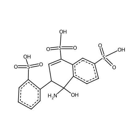 NC1(O)c2ccc(S(=O)(=O)O)cc2C(S(=O)(=O)O)=CC1c1ccccc1S(=O)(=O)O